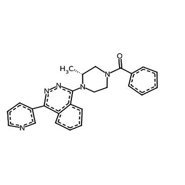 C[C@@H]1CN(C(=O)c2ccccc2)CCN1c1nnc(-c2cccnc2)c2ccccc12